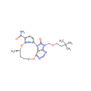 C[C@@H]1CCCOc2ncnc3c2n(c(=O)n3COCC[Si](C)(C)C)-c2ccc(C(N)=O)c(n2)O1